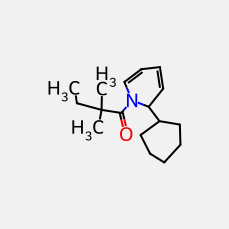 CCC(C)(C)C(=O)N1C=CC=CC1C1CCCCC1